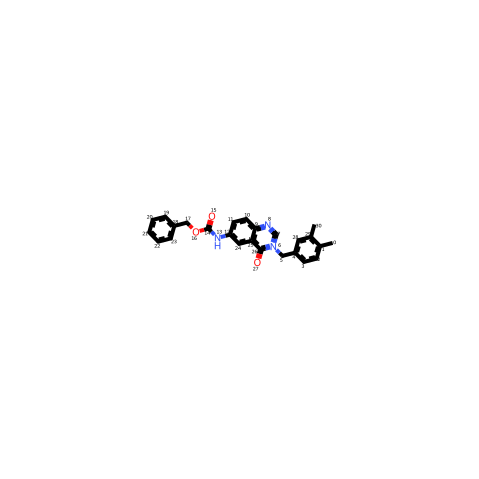 Cc1ccc(Cn2cnc3ccc(NC(=O)OCc4ccccc4)cc3c2=O)cc1C